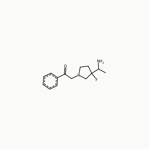 CC(N)C1(F)CCN(CC(=O)c2ccccc2)C1